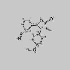 C=C1C(=O)O[C@H](c2cccc(C#N)c2)[C@@H]1c1ccc(OC)cc1